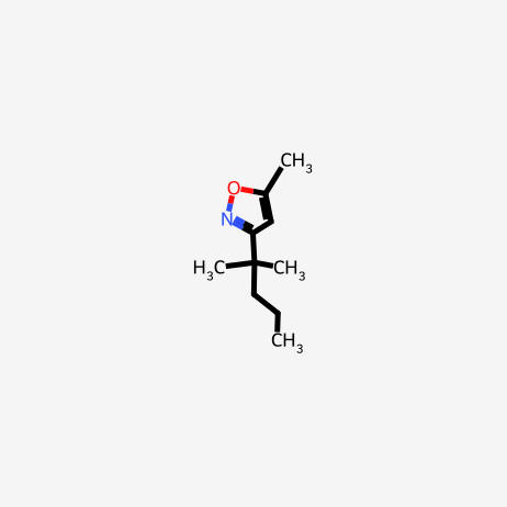 CCCC(C)(C)c1cc(C)on1